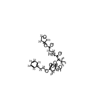 C[C@H](NP1(=O)OCC(C)(C)[C@H](C(=O)NCCC(=O)O[C@@H]2CCOC2)O1)C(=O)OCCc1ccccc1